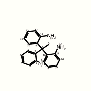 CC(c1ccccc1N)(c1ccccc1N)c1ccccc1N